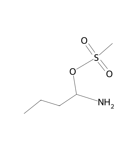 CCCC(N)OS(C)(=O)=O